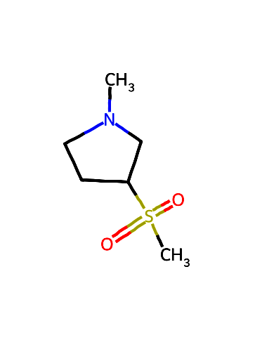 CN1CCC(S(C)(=O)=O)C1